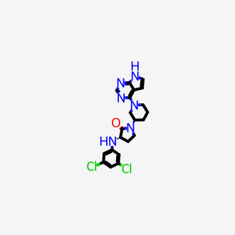 O=C1[C@@H](Nc2cc(Cl)cc(Cl)c2)CCN1[C@@H]1CCCN(c2ncnc3[nH]ccc23)C1